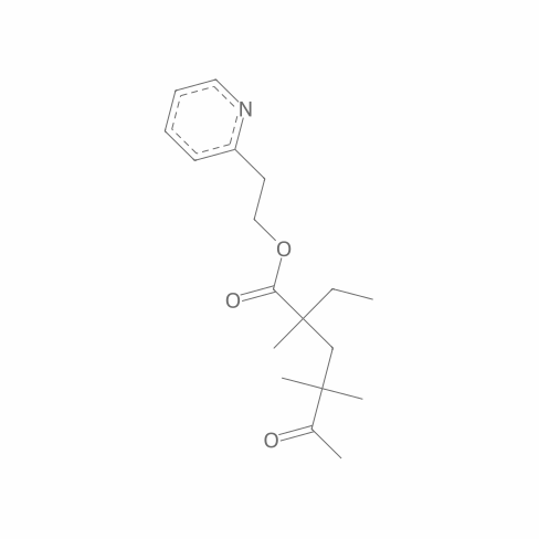 CCC(C)(CC(C)(C)C(C)=O)C(=O)OCCc1ccccn1